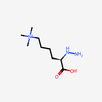 C[N+](C)(C)CCCC[C@@H](NN)C(=O)O